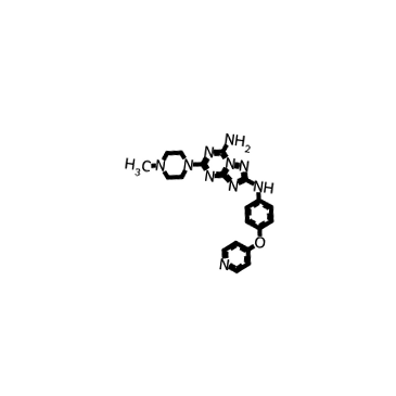 CN1CCN(c2nc(N)n3nc(Nc4ccc(Oc5ccncc5)cc4)nc3n2)CC1